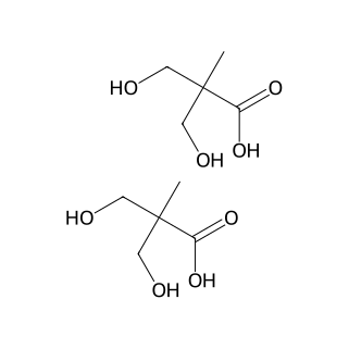 CC(CO)(CO)C(=O)O.CC(CO)(CO)C(=O)O